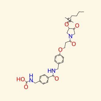 CCCC[Si](C)(C)OC1CN(C(=O)CCOc2ccc(CNC(=O)c3ccc(CNC(=O)O)cc3)cc2)CC1=O